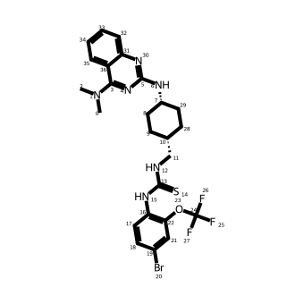 CN(C)c1nc(N[C@H]2CC[C@@H](CNC(=S)Nc3ccc(Br)cc3OC(F)(F)F)CC2)nc2ccccc12